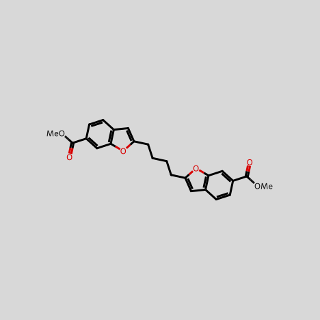 COC(=O)c1ccc2cc(CCCCc3cc4ccc(C(=O)OC)cc4o3)oc2c1